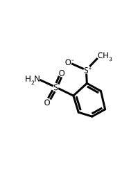 C[S+]([O-])c1ccccc1S(N)(=O)=O